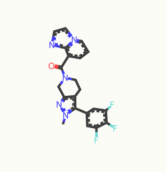 Cn1nc2c(c1-c1cc(F)c(F)c(F)c1)CCN(C(=O)c1cccn3ccnc13)C2